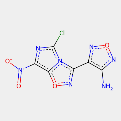 Nc1nonc1-c1noc2c([N+](=O)[O-])nc(Cl)n12